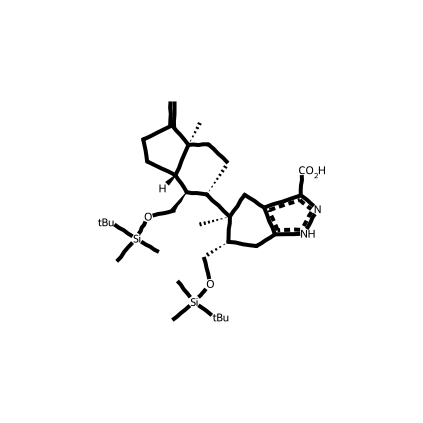 C=C1CC[C@H]2[C@H](CO[Si](C)(C)C(C)(C)C)[C@@H]([C@@]3(C)Cc4c(C(=O)O)n[nH]c4C[C@@H]3CO[Si](C)(C)C(C)(C)C)CC[C@]12C